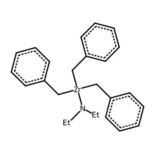 CC[N](CC)[Zr]([CH2]c1ccccc1)([CH2]c1ccccc1)[CH2]c1ccccc1